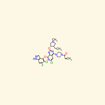 C=CC(=O)N1CCN(c2nc(O[C@@H]3CN(C)C[C@H]3CC)nc3c(Oc4c(Cl)c(F)cc5[nH]ncc45)nc(Cl)cc23)CC1